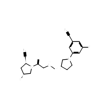 N#Cc1cc(F)cc(N2CC[C@H](CNCC(=O)N3C[C@@H](F)C[C@H]3C#N)C2)c1